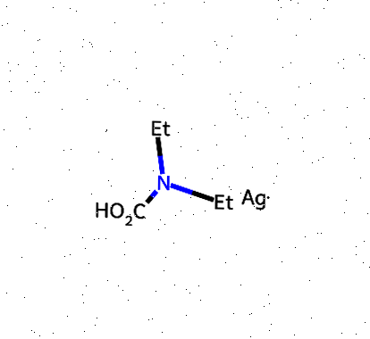 CCN(CC)C(=O)O.[Ag]